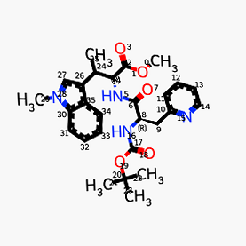 COC(=O)[C@H](NC(=O)[C@@H](Cc1ccccn1)NC(=O)OC(C)(C)C)C(C)c1cn(C)c2ccccc12